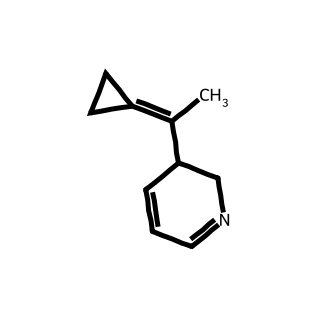 CC(=C1CC1)C1C=CC=NC1